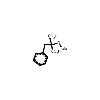 CC(C)(C)OC(Cc1ccccc1)(C(=O)O)C(=O)O